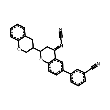 N#C/N=C1\CC(C2COc3ccccc3C2)Oc2ccc(-c3cccc(C#N)c3)cc21